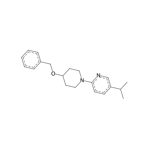 CC(C)c1ccc(N2CCC(OCc3ccccc3)CC2)nc1